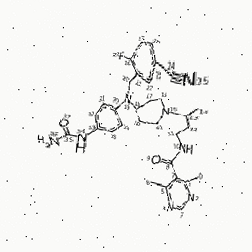 Cc1ncnc(C)c1C(=O)NCCC(C)N1CCC(N(Cc2cc(C#N)ccc2F)c2ccc(NC(N)=O)cc2)CC1